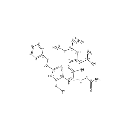 CC(=O)F.CC(C)C[C@H](NC(=O)OCc1ccccc1)C(=O)N[C@@H](CCC(N)=O)C(=O)N[C@H](C(=O)N[C@@H](CC(=O)O)C(=O)O)[C@@H](C)O